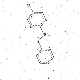 Clc1cnc(NSc2ccccc2)nc1